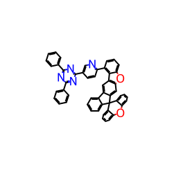 c1ccc(-c2nc(-c3ccccc3)nc(-c3ccc(-c4cccc5oc6cc7c(cc6c45)-c4ccccc4C74c5ccccc5Oc5ccccc54)nc3)n2)cc1